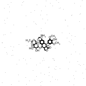 COc1cc([C@@H]2c3cc4c(cc3C(O[C@@H]3O[C@@H]5CO[C@@H](C)O[C@H]5[C@H](O)[C@H]3O)C3COC(=O)[C@@H]32)OCO4)cc(OC)c1O.N